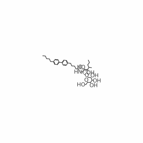 CCCCCc1ccc(-c2ccc(CCCCC(=O)N[C@@H](COC3OC(CO)C(O)C(O)C3O)[C@H](O)[C@H](O)C(C)CCC)cc2)cc1